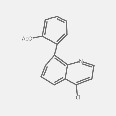 CC(=O)Oc1ccccc1-c1cccc2c(Cl)ccnc12